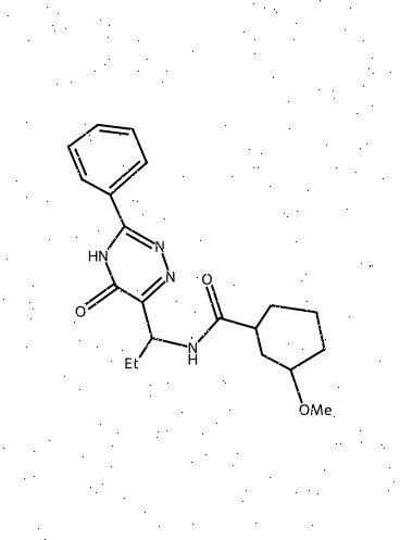 CCC(NC(=O)C1CCCC(OC)C1)c1nnc(-c2ccccc2)[nH]c1=O